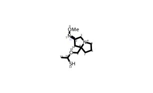 CO/N=C1\CN2CCCC2(COC(C)S)C1